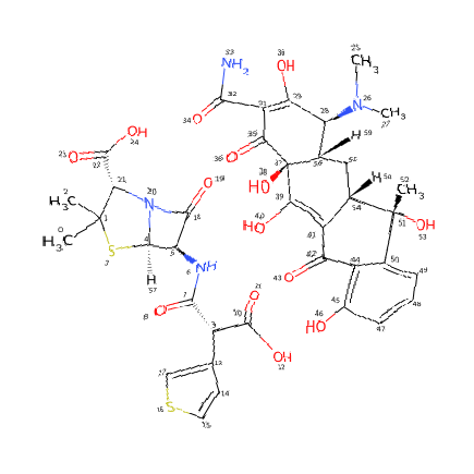 CC1(C)S[C@@H]2[C@H](NC(=O)[C@H](C(=O)O)c3ccsc3)C(=O)N2[C@H]1C(=O)O.CN(C)[C@@H]1C(O)=C(C(N)=O)C(=O)[C@@]2(O)C(O)=C3C(=O)c4c(O)cccc4[C@@](C)(O)[C@H]3C[C@@H]12